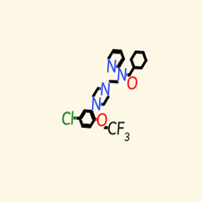 O=C(C1CCCCC1)N(CCN1CCN(c2cc(Cl)ccc2OCC(F)(F)F)CC1)c1ccccn1